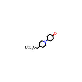 CCOC(=O)CC1CCN(C2CCC(=O)CC2)CC1